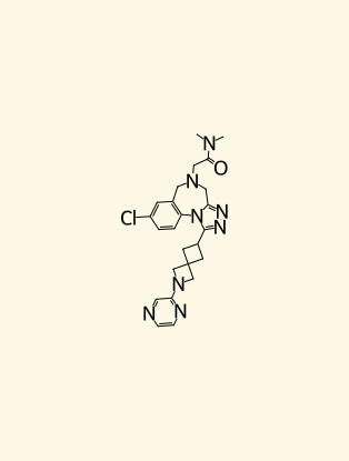 CN(C)C(=O)CN1Cc2cc(Cl)ccc2-n2c(nnc2C2CC3(C2)CN(c2cnccn2)C3)C1